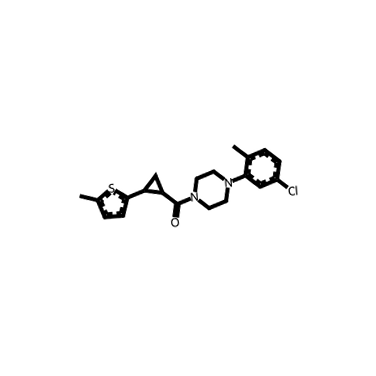 Cc1ccc(C2CC2C(=O)N2CCN(c3cc(Cl)ccc3C)CC2)s1